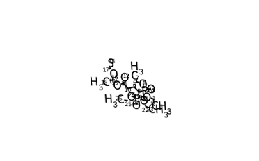 CCOP(=O)(OCC)C(CCC(=O)OC(C)OC=S)P(=O)(OCC)OCC